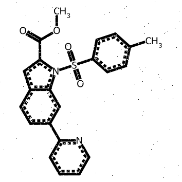 COC(=O)c1cc2ccc(-c3ccccn3)cc2n1S(=O)(=O)c1ccc(C)cc1